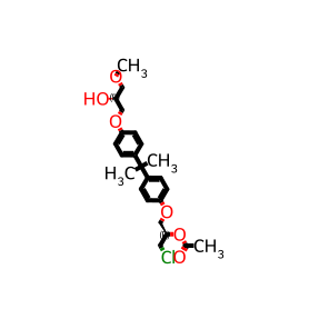 COC[C@@H](O)COc1ccc(C(C)(C)c2ccc(OC[C@H](CCl)OC(C)=O)cc2)cc1